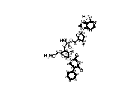 Nc1ncnc2c1ncn2[C@H]1C[C@H](F)[C@@H](COP(=O)(O)O[C@H]2[C@@H](F)[C@H](n3cc(-c4ccccc4)c(=O)[nH]c3=O)O[C@@H]2COP)O1